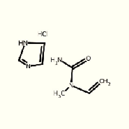 C=CN(C)C(N)=O.Cl.c1c[nH]cn1